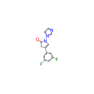 O=C1CC(c2cc(F)cc(F)c2)=CN1n1ccnc1